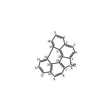 c1cc2ccc3[se]c4ccc5cccc6c(c1)c2c3c4c56